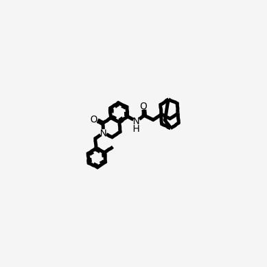 Cc1ccccc1CN1CCc2c(NC(=O)CC34CC5CC(CC(C5)C3)C4)cccc2C1=O